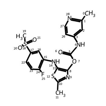 Cc1cc(NC(=O)Oc2nc(C)sc2Nc2cc(S(C)(=O)=O)ccc2F)ccn1